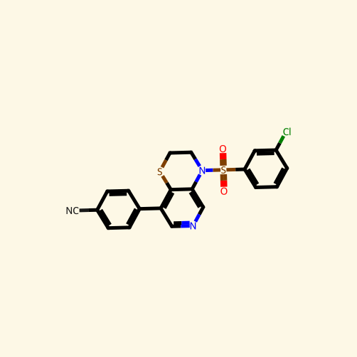 N#Cc1ccc(-c2cncc3c2SCCN3S(=O)(=O)c2cccc(Cl)c2)cc1